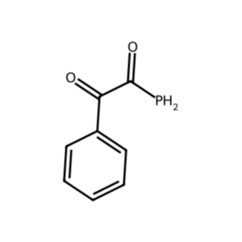 O=C(P)C(=O)c1ccccc1